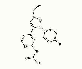 CC(C)Cn1cc(-c2ccnc(NC(=O)C(C)C)n2)c(-c2ccc(F)cc2)n1